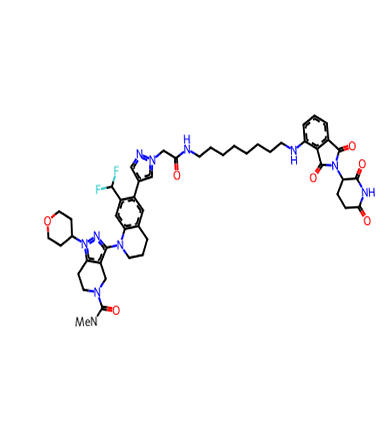 CNC(=O)N1CCc2c(c(N3CCCc4cc(-c5cnn(CC(=O)NCCCCCCCCNc6cccc7c6C(=O)N(C6CCC(=O)NC6=O)C7=O)c5)c(C(F)F)cc43)nn2C2CCOCC2)C1